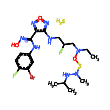 CCN(CC(F)CNc1nonc1/C(=N/O)Nc1ccc(F)c(Br)c1)OSN(C)NC(C)C.S